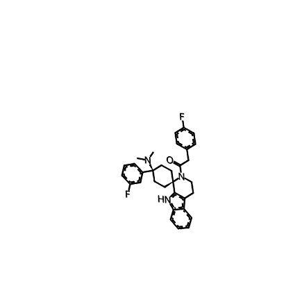 CN(C)[C@]1(c2cccc(F)c2)CC[C@]2(CC1)c1[nH]c3ccccc3c1CCN2C(=O)Cc1ccc(F)cc1